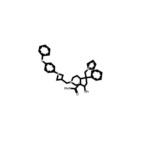 CCCC(CC(Cn1cccc1)(c1ccccc1)C1CCN(CC2CN(c3ccc(Sc4ccccc4)cc3)C2)CC1)OC(=O)NC